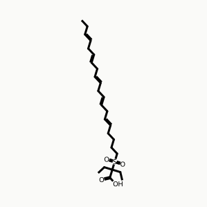 CCC=CCC=CCC=CCC=CCC=CCCCCS(=O)(=O)C(CC)(CC)C(=O)O